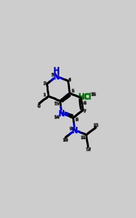 CC1CNCc2ccc(N(C)C(C)C)nc21.Cl